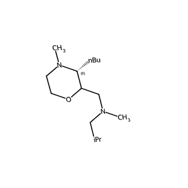 CCCC[C@@H]1C(CN(C)CC(C)C)OCCN1C